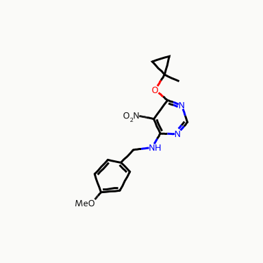 COc1ccc(CNc2ncnc(OC3(C)CC3)c2[N+](=O)[O-])cc1